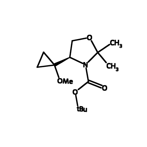 COC1([C@H]2COC(C)(C)N2C(=O)OC(C)(C)C)CC1